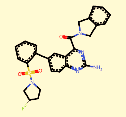 Nc1nc(C(=O)N2Cc3ccccc3C2)c2cc(-c3ccccc3S(=O)(=O)N3CC[C@H](F)C3)ccc2n1